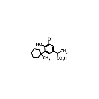 CCc1cc(C(C)C(=O)O)cc(C2(C)CCCCC2)c1O